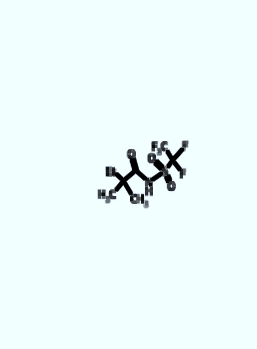 CCC(C)(C)C(=O)NS(=O)(=O)C(F)(F)C(F)(F)F